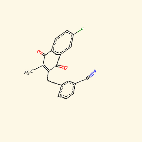 CC1=C(Cc2cccc(C#N)c2)C(=O)c2cc(F)ccc2C1=O